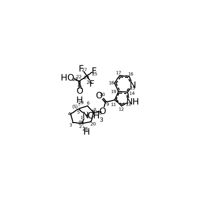 CN1[C@@H]2CC[C@H]1C[C@@H](OC(=O)c1c[nH]c3ncccc13)C2.O=C(O)C(F)(F)F